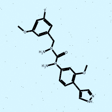 COc1cc(F)cc(CN(N)C(=O)N(N)c2ccc(-c3cn[nH]c3)c(OC)c2)c1